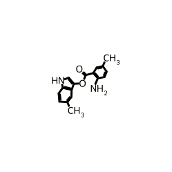 Cc1ccc(N)c(C(=O)Oc2c[nH]c3ccc(C)cc23)c1